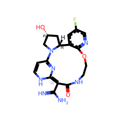 N=C(N)/C1=C2/N=C(C=CN2)N2C[C@H](O)C[C@@H]2c2cc(F)cnc2OCCNC1=O